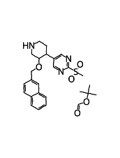 CC(C)(C)OC=O.CS(=O)(=O)c1ncc(C2CCNCC2OCc2ccc3ccccc3c2)cn1